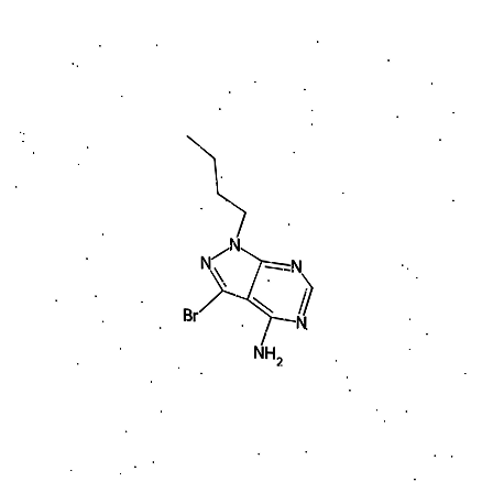 CCCCn1nc(Br)c2c(N)ncnc21